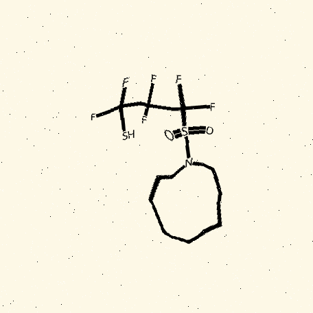 O=S(=O)(N1CCCCCCC1)C(F)(F)C(F)(F)C(F)(F)S